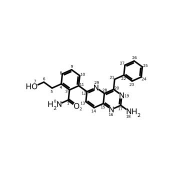 NC(=O)c1c(CCO)cccc1-c1ccc2nc(N)nc(Cc3ccccc3)c2n1